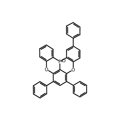 O=P12c3ccccc3Oc3c(-c4ccccc4)cc(-c4ccccc4)c(c31)Oc1ccc(-c3ccccc3)cc12